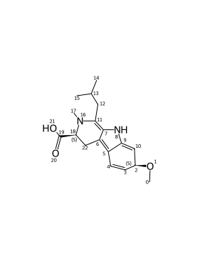 CO[C@H]1C=Cc2c3c([nH]c2=C1)=C(CC(C)C)N(C)[C@H](C(=O)O)C3